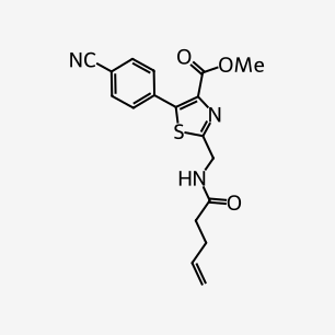 C=CCCC(=O)NCc1nc(C(=O)OC)c(-c2ccc(C#N)cc2)s1